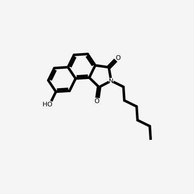 CCCCCCN1C(=O)c2ccc3ccc(O)cc3c2C1=O